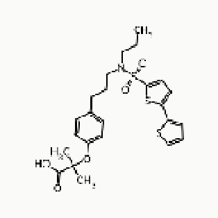 CCCN(CCCc1ccc(OC(C)(C)C(=O)O)cc1)S(=O)(=O)c1ccc(-c2cccs2)s1